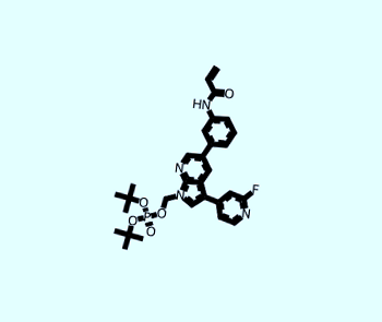 C=CC(=O)Nc1cccc(-c2cnc3c(c2)c(-c2ccnc(F)c2)cn3COP(=O)(OC(C)(C)C)OC(C)(C)C)c1